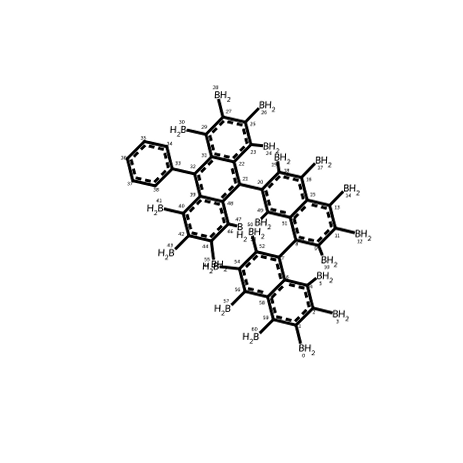 Bc1c(B)c(B)c2c(-c3c(B)c(B)c(B)c4c(B)c(B)c(-c5c6c(B)c(B)c(B)c(B)c6c(-c6ccccc6)c6c(B)c(B)c(B)c(B)c56)c(B)c34)c(B)c(B)c(B)c2c1B